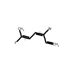 C=C/C(Br)=C\C=C(/C)F